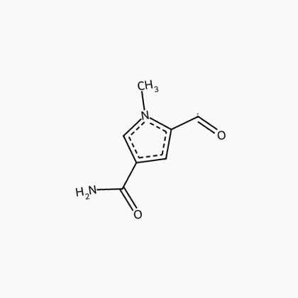 Cn1cc(C(N)=O)cc1[C]=O